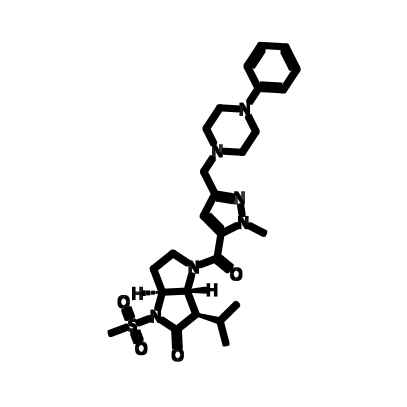 CC(C)[C@H]1C(=O)N(S(C)(=O)=O)[C@H]2CCN(C(=O)c3cc(CN4CCN(c5ccccc5)CC4)nn3C)[C@H]12